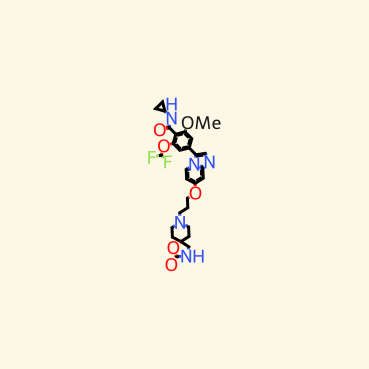 COc1cc(-c2cnc3cc(OCCCN4CCC5(CC4)CNC(=O)O5)ccn23)cc(OC(F)F)c1C(=O)NC1CC1